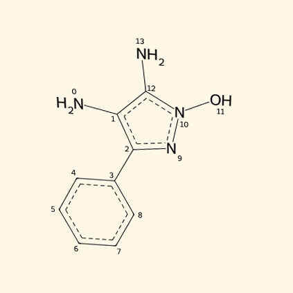 Nc1c(-c2ccccc2)nn(O)c1N